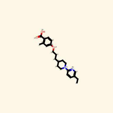 CCc1ccc(N2CCC(CCCOc3ccc(C(=O)O)c(C)c3)CC2)nc1